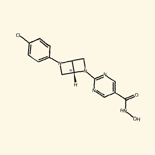 O=C(NO)c1cnc(N2CC3[C@H]2CN3c2ccc(Cl)cc2)nc1